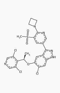 C[C@@H](Oc1cc2c(-c3cnc(N4CCC4)c(S(C)(=O)=O)c3)n[nH]c2cc1Cl)c1c(Cl)cncc1Cl